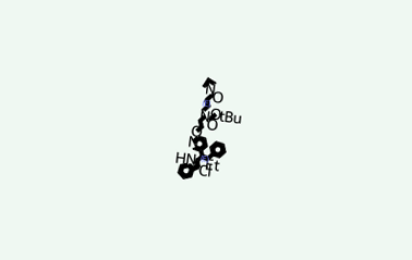 CC/C(=C(/c1ccc(OCCN(C/C=C/C(=O)N2CCC2)C(=O)OC(C)(C)C)nc1)c1[nH]c2ccccc2c1Cl)c1ccccc1